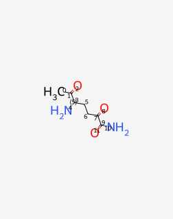 CC(=O)[C@@H](N)CCC(=O)C(N)=O